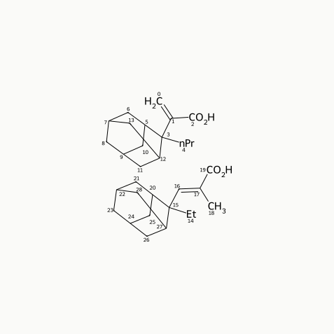 C=C(C(=O)O)C1(CCC)C2CC3CC(C2)CC1C3.CCC1(C=C(C)C(=O)O)C2CC3CC(C2)CC1C3